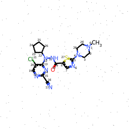 CN1CCN(c2ncc(C(=O)NN(c3nc(C#N)ncc3Cl)C3CCCC3)s2)CC1